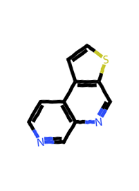 c1cc2c(cn1)ncc1sccc12